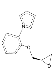 c1ccc(-n2cccc2)c(OC[C@H]2CO2)c1